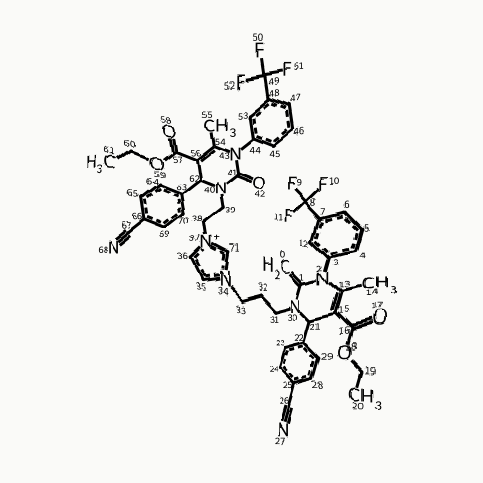 C=C1N(c2cccc(C(F)(F)F)c2)C(C)=C(C(=O)OCC)C(c2ccc(C#N)cc2)N1CCCn1cc[n+](CCN2C(=O)N(c3cccc(C(F)(F)F)c3)C(C)=C(C(=O)OCC)C2c2ccc(C#N)cc2)c1